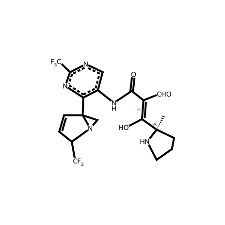 C[C@]1(/C(O)=C(\C=O)C(=O)Nc2cnc(C(F)(F)F)nc2C23C=CC(C(F)(F)F)N2C3)CCCN1